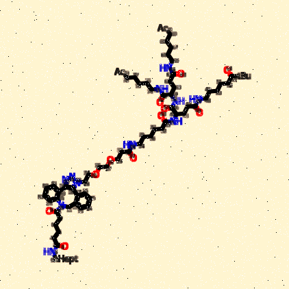 CCCCCCCNC(=O)CCCCC(=O)N1Cc2ccccc2-c2c(nnn2CCOCCOCCC(=O)NCCCCCC(=O)NC(CCC(=O)NCCCCCC(=O)C(C)(C)C)C(=O)NC(CCC(=O)NCCCCCC(C)=O)C(=O)NCCCCCC(C)=O)-c2ccccc21